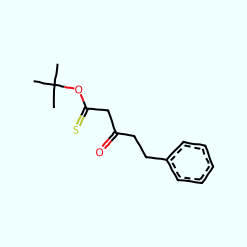 CC(C)(C)OC(=S)CC(=O)CCc1ccccc1